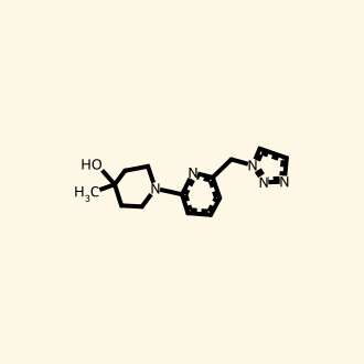 CC1(O)CCN(c2cccc(Cn3ccnn3)n2)CC1